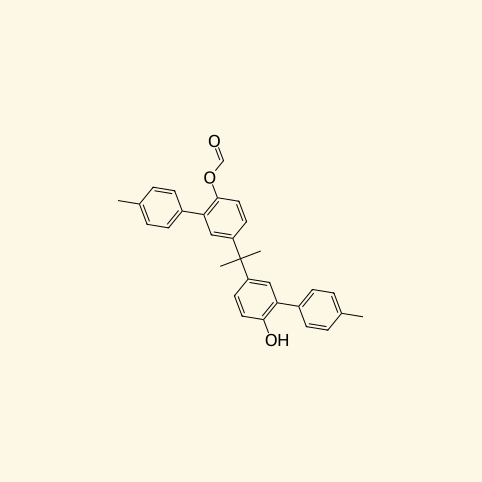 Cc1ccc(-c2cc(C(C)(C)c3ccc(OC=O)c(-c4ccc(C)cc4)c3)ccc2O)cc1